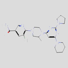 CC1CN(c2ncc(C(N)=O)cc2Cl)CCN1c1cc(N2CCCCC2)nc(N2CCC[C@@H]2C)n1